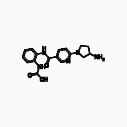 NC1CCN(c2ccc(C(=O)Nc3ccccc3NC(=O)O)cn2)C1